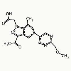 COCc1ncc(-c2cc(C)c3c(c2)c(C(C)=O)nn3CC(=O)O)cn1